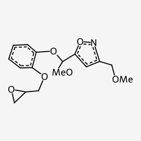 COCc1cc(C(OC)Oc2ccccc2OCC2CO2)on1